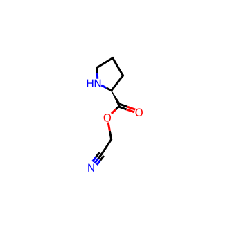 N#CCOC(=O)[C@@H]1CCCN1